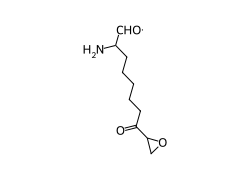 NC([C]=O)CCCCCC(=O)C1CO1